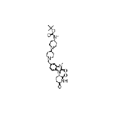 CN(C(=O)OC(C)(C)C)C1CCN(C2CCN(Cc3ccc4c(c3)n(C)c(=O)n4C3CCC(=O)NC3=O)CC2)CC1